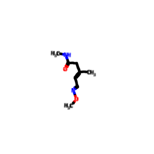 CNC(=O)CC(C)=CC=NOC